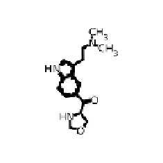 CN(C)CCc1c[nH]c2ccc(C(=O)C3COCN3)cc12